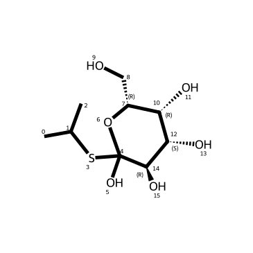 CC(C)SC1(O)O[C@H](CO)[C@H](O)[C@H](O)[C@H]1O